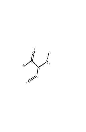 CSC(C=O)C(C)=O